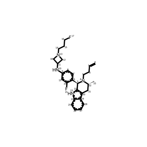 C=CCCN1[C@H](c2ccc(NC3CN(CCCF)C3)cc2F)c2[nH]c3ccccc3c2C[C@H]1C